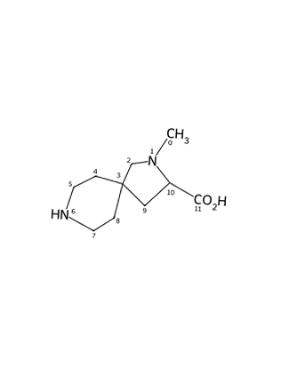 CN1CC2(CCNCC2)CC1C(=O)O